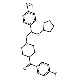 O=C(c1ccc(F)cc1)C1CCN(CC(OC2CCCC2)c2ccc([N+](=O)[O-])cc2)CC1